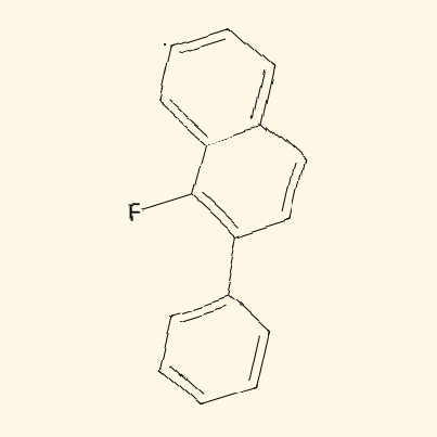 Fc1c(-c2ccccc2)ccc2cc[c]cc12